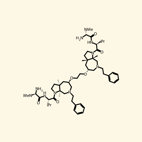 CN[C@@H](N)C(=O)N[C@H](C(=O)N1CC[C@@]2(C)C[C@@H](OCCO[C@H]3CN(CCc4ccccc4)C[C@@]4(C)N(C(=O)[C@@H](NC(=O)[C@H](N)NC)C(C)C)CC[C@@]4(C)C3)CN(CCc3ccccc3)C[C@@]12C)C(C)C